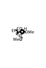 CCC(C(=O)O)C(=O)c1ccc(OC)cc1OCOC